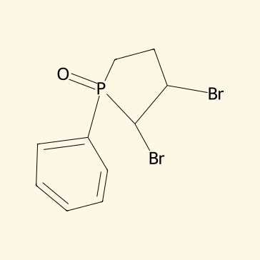 O=P1(c2ccccc2)CCC(Br)C1Br